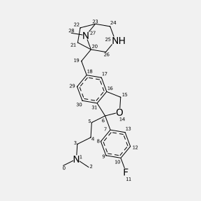 CN(C)CCCC1(c2ccc(F)cc2)OCc2cc(CC34CCC(CNC3)N4C)ccc21